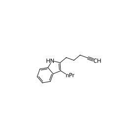 C#CCCCc1[nH]c2ccccc2c1CCC